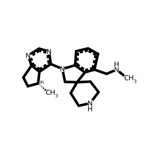 CNCc1cccc2c1C1(CCNCC1)CN2c1ncnc2c1[C@H](C)CC2